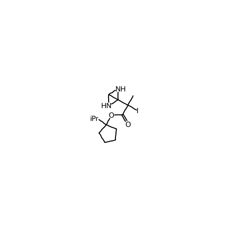 CC(C)C1(OC(=O)C(C)(I)C23NC2N3)CCCC1